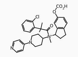 CC(C)(C(=O)[N+](C)(C1CCN(c2ccncc2)CC1)C1CCc2ccc(OC(=O)O)cc21)c1ccccc1Cl